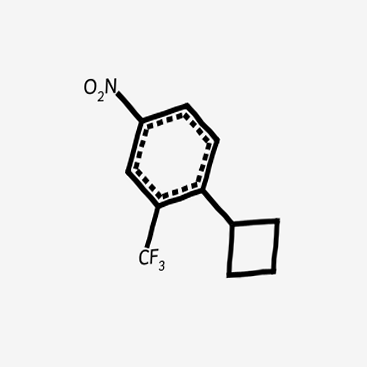 O=[N+]([O-])c1ccc(C2CCC2)c(C(F)(F)F)c1